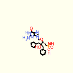 Nc1nc2c(ncn2CO[C@H](CCP(=O)(O)O)C(O)(Cc2ccccc2)Cc2ccccc2)c(=O)[nH]1